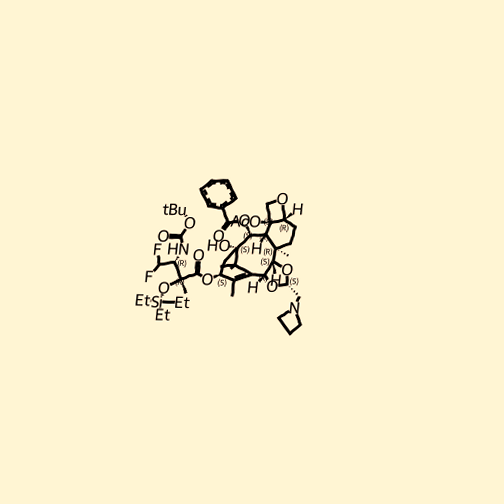 CC[Si](CC)(CC)O[C@@](C)(C(=O)O[C@H]1C[C@@]2(O)[C@@H](OC(=O)c3ccccc3)[C@H]3[C@@](C)(CC[C@H]4OC[C@]43OC(C)=O)[C@@H]3O[C@H](CN4CCC4)O[C@@H]3C(=C1C)C2(C)C)[C@@H](NC(=O)OC(C)(C)C)C(F)F